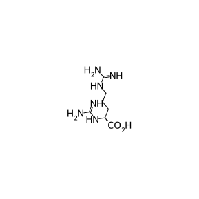 N=C(N)NCCC[C@H](NC(=N)N)C(=O)O